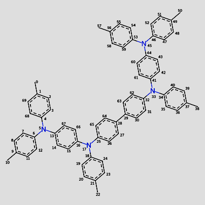 Cc1ccc(N(c2ccc(C)cc2)c2ccc(N(c3ccc(C)cc3)c3ccc(-c4ccc(N(c5ccc(C)cc5)c5ccc(N(c6ccc(C)cc6)c6ccc(C)cc6)cc5)cc4)cc3)cc2)cc1